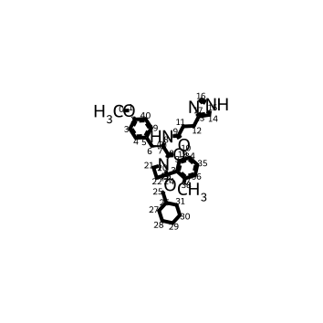 COc1ccc(C[C@@H](NC(=O)CCc2c[nH]cn2)C(=O)N2CC[C@]2(OCC2CCCCC2)c2ccccc2C)cc1